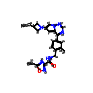 COC1CN(c2cc3c(-c4ccc(CNC(=O)c5noc(C(C)(C)C)n5)c(C)c4)ncnn3c2)C1